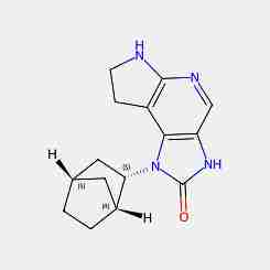 O=c1[nH]c2cnc3c(c2n1[C@H]1C[C@H]2CC[C@@H]1C2)CCN3